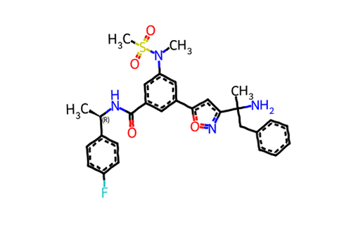 C[C@@H](NC(=O)c1cc(-c2cc(C(C)(N)Cc3ccccc3)no2)cc(N(C)S(C)(=O)=O)c1)c1ccc(F)cc1